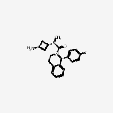 CN(C(=O)N1CCc2ccccc2[C@@H]1c1ccc(F)cc1)[C@H]1C[C@H](N)C1